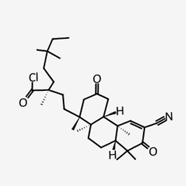 CCC(C)(C)CC[C@@](C)(CC[C@]1(C)CC(=O)C[C@@H]2[C@@]3(C)C=C(C#N)C(=O)C(C)(C)[C@@H]3CC[C@]21C)C(=O)Cl